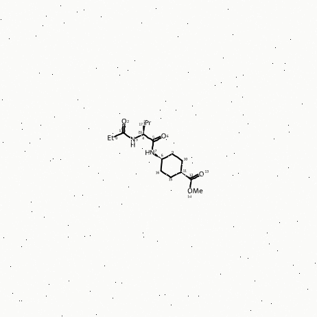 CCC(=O)N[C@H](C(=O)N[C@H]1CC[C@@H](C(=O)OC)CC1)C(C)C